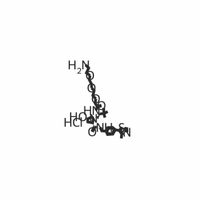 Cc1ncsc1-c1ccc(CNC(=O)[C@@H]2C[C@@H](O)CN2C[C@@H](NC(=O)COCCOCCOCCN)C(C)(C)C)cc1.Cl